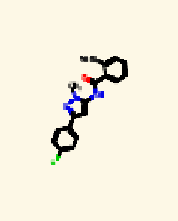 COc1ccccc1C(=O)Nc1cc(-c2ccc(Cl)cc2)nn1C